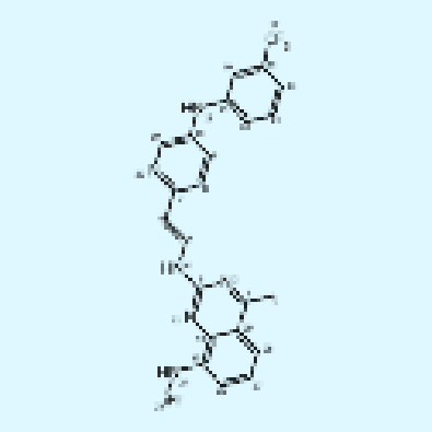 Cc1nc(N/C=C/c2ccc(Nc3cccc(C(F)(F)F)c3)cn2)nc2c(NC(C)C)cccc12